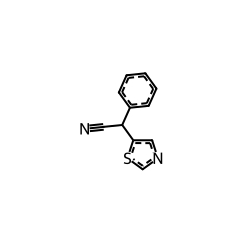 N#CC(c1ccccc1)c1cncs1